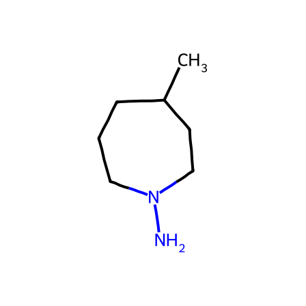 CC1CCCN(N)CC1